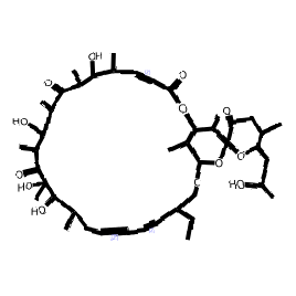 CCC1/C=C\C=C/CC(C)C(O)C(C)(O)C(=O)C(C)C(O)C(C)C(=O)C(C)C(O)C(C)/C=C\C(=O)OC2C(C)C(CC1)OC1(OC(CC(C)O)C(C)CC1=O)C2C